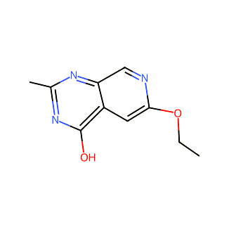 CCOc1cc2c(O)nc(C)nc2cn1